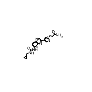 NC(=O)CCn1cc(-c2cnc3ccc(NC(=O)NCC4CC4)nc3n2)cn1